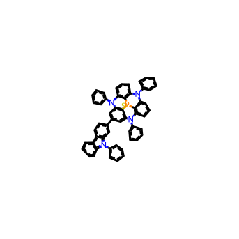 S=P12c3c4cccc3N(c3ccccc3)c3cc(-c5ccc6c7ccccc7n(-c7ccccc7)c6c5)cc(c31)N(c1ccccc1)c1cccc(c12)N4c1ccccc1